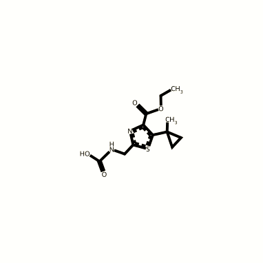 CCOC(=O)c1nc(CNC(=O)O)sc1C1(C)CC1